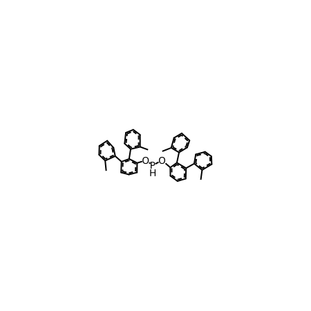 Cc1ccccc1-c1cccc(OPOc2cccc(-c3ccccc3C)c2-c2ccccc2C)c1-c1ccccc1C